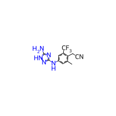 Cc1cc(Nc2n[nH]c(N)n2)cc(C(F)(F)F)c1CC#N